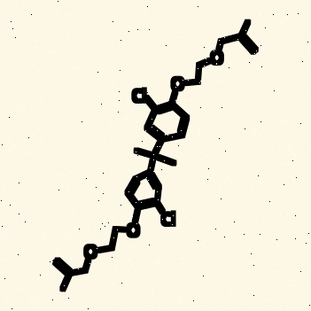 C=C(C)COCCOc1ccc(C(C)(C)c2ccc(OCCOCC(=C)C)c(Cl)c2)cc1Cl